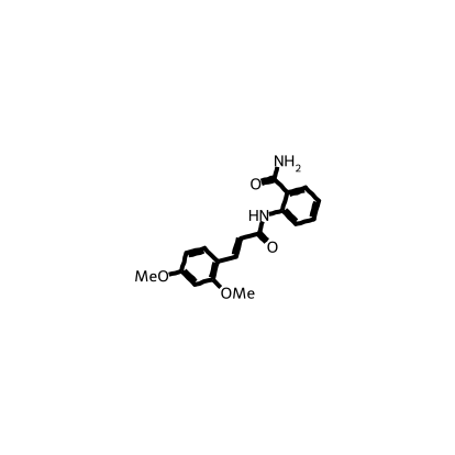 COc1ccc(/C=C/C(=O)Nc2ccccc2C(N)=O)c(OC)c1